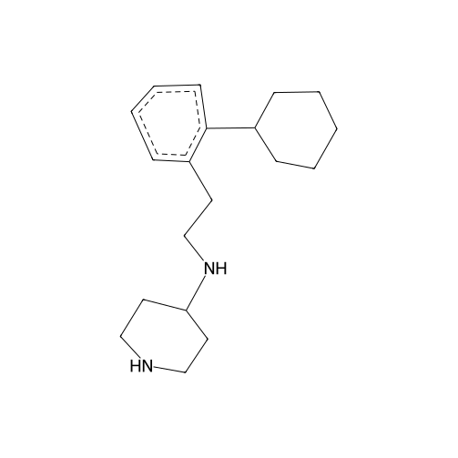 c1ccc(C2CCCCC2)c(CCNC2CCNCC2)c1